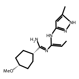 C/C=C(/N=C(\N)[C@H]1CC[C@@H](OC)CC1)Nc1cc(C)[nH]n1